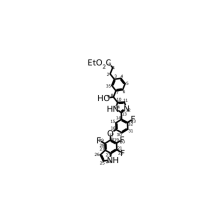 CCOC(=O)CCc1cccc(C(O)c2cnc(-c3cc(Oc4c(F)c(F)c5[nH]ccc5c4F)ccc3F)[nH]2)c1